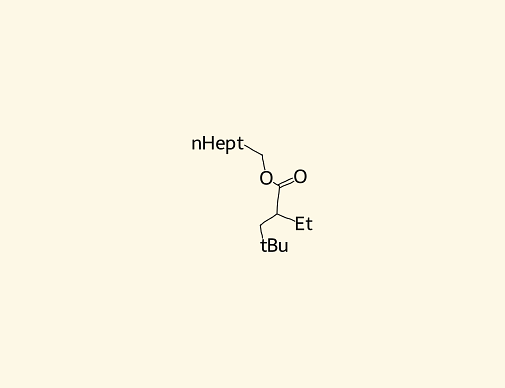 CCCCCCCCOC(=O)C(CC)CC(C)(C)C